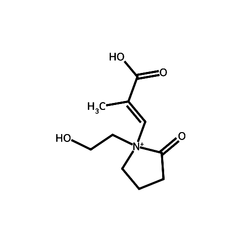 CC(=C[N+]1(CCO)CCCC1=O)C(=O)O